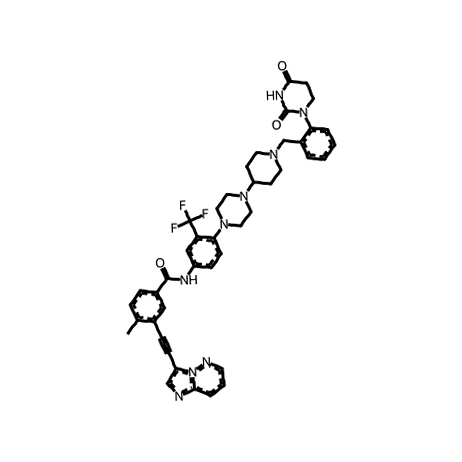 Cc1ccc(C(=O)Nc2ccc(N3CCN(C4CCN(Cc5ccccc5N5CCC(=O)NC5=O)CC4)CC3)c(C(F)(F)F)c2)cc1C#Cc1cnc2cccnn12